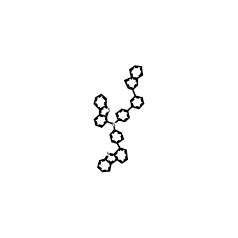 c1cc(-c2ccc(N(c3ccc(-c4cccc5c4sc4ccccc45)cc3)c3cccc4c3sc3ccccc34)cc2)cc(-c2ccc3ccccc3c2)c1